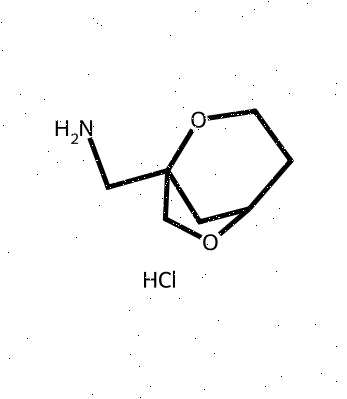 Cl.NCC12COC(CCO1)C2